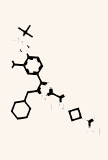 CC(C)(C)NS(=O)(=O)c1ccc(-c2sc(C(=O)N[C@H]3C[C@H](C(=O)O)C3)nc2CC2CCCCC2)cc1C(F)F